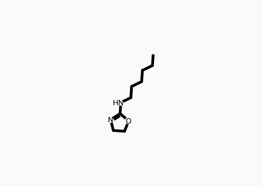 CCCCCCNC1=NCCO1